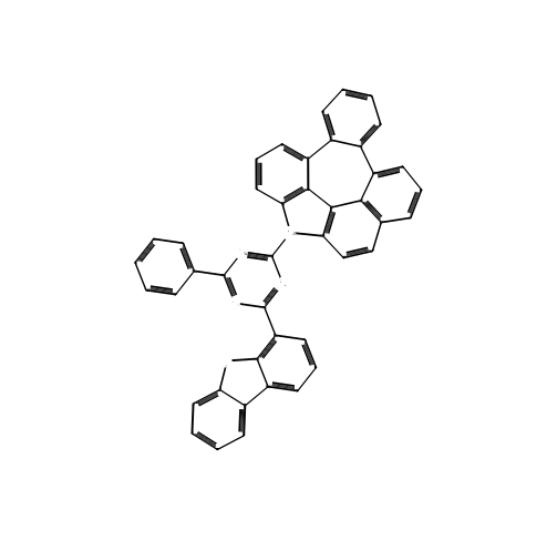 c1ccc(-c2nc(-c3cccc4c3sc3ccccc34)nc(-n3c4cccc5c4c4c6c(cccc6ccc43)-c3ccccc3-5)n2)cc1